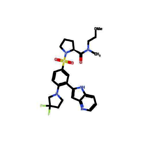 COCCN(C)C(=O)[C@@H]1CCCN1S(=O)(=O)c1ccc(N2CCC(F)(F)C2)c(-c2cc3ncccc3[nH]2)c1